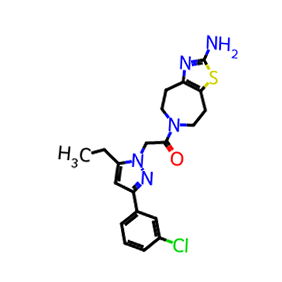 CCc1cc(-c2cccc(Cl)c2)nn1CC(=O)N1CCc2nc(N)sc2CC1